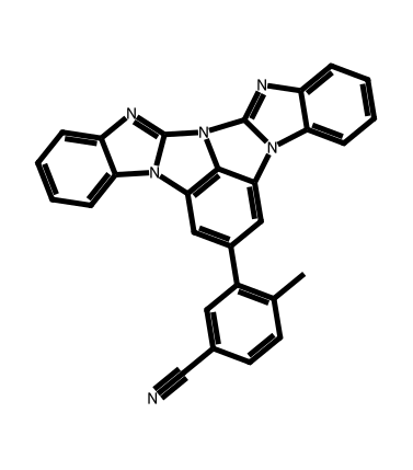 Cc1ccc(C#N)cc1-c1cc2c3c(c1)n1c4ccccc4nc1n3c1nc3ccccc3n21